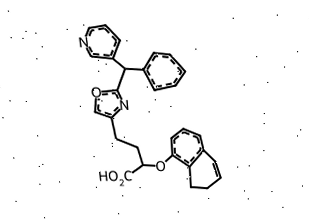 O=C(O)C(CCc1coc(C(c2ccccc2)c2cccnc2)n1)Oc1cccc2c1CCC=C2